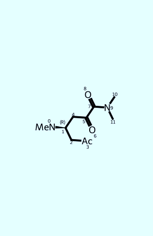 CN[C@H](CC(C)=O)CC(=O)C(=O)N(C)C